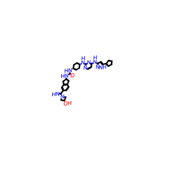 N=C(c1ccc2c(c1)CC(NC(=O)N[C@H]1CC[C@H](Nc3nccc(Nc4cc(C5CCCC5)[nH]n4)n3)CC1)C2)N1CC(O)C1